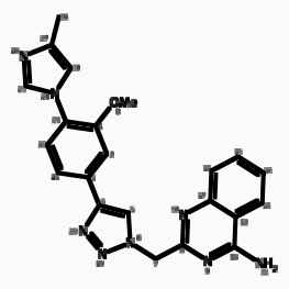 COc1cc(-c2cn(Cc3nc(N)c4ccccc4n3)nn2)ccc1-n1cnc(C)c1